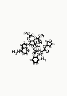 CC(C)C(=O)O[C@H]1[C@H](c2ccc3c(N)ncnn23)O[C@](C#N)(COP(=O)(N[C@@H](C)C(=O)O[C@@H]2CCOC2)Oc2ccccc2)[C@H]1OC(=O)C(C)C